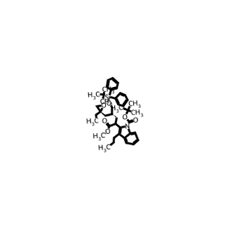 CCCc1c(C(C[C@@H](CO[Si](c2ccccc2)(c2ccccc2)C(C)(C)C)C[C@@]2(CC)CO2)C(=O)OC)n(C(=O)OC(C)(C)C)c2ccccc12